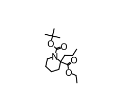 CCCC1(C(=O)OCC)CCCCN1C(=O)OC(C)(C)C